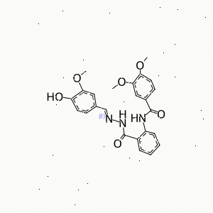 COc1cc(/C=N/NC(=O)c2ccccc2NC(=O)c2ccc(OC)c(OC)c2)ccc1O